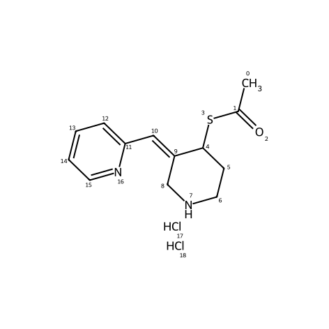 CC(=O)SC1CCNC/C1=C\c1ccccn1.Cl.Cl